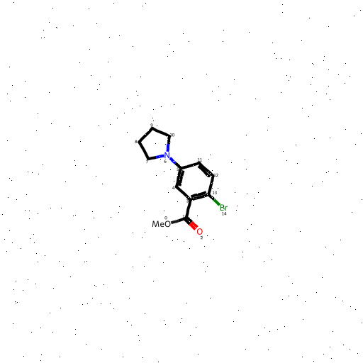 COC(=O)c1cc(N2CCCC2)ccc1Br